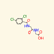 O=C(O)CNC(=O)CNC(=O)c1ccc(Cl)cc1Cl